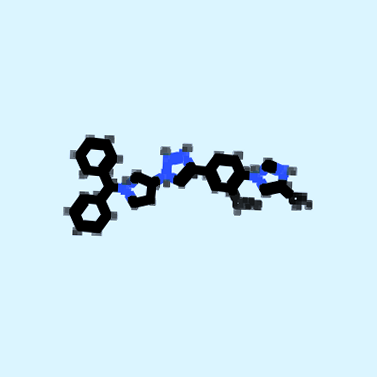 COc1cc(-c2cn(C3CCN(C(C4=CC=CCC4)C4C=CC=CC4)C3)nn2)ccc1-n1cnc(C)c1